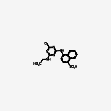 O=C(O)CNc1nc(Cl)nc(Nc2ccc(S(=O)(=O)O)c3ccccc23)n1